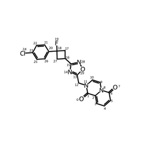 O=c1c2cccc(=O)n2ccn1Cc1nc(C2CC(F)(c3ccc(Cl)cc3)C2)no1